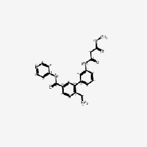 COC(=O)CC(=O)Nc1cccc(-c2cc(C(=O)Nc3ccncc3)ccc2CN)c1